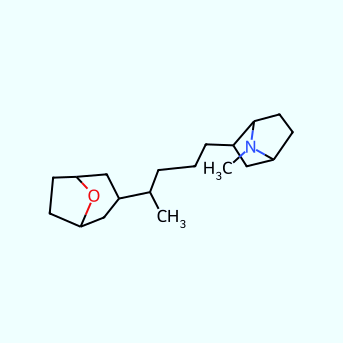 CC(CCCC1CC2CCC1N2C)C1CC2CCC(C1)O2